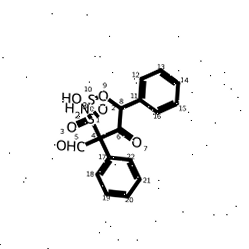 NS(=O)(=O)C([C]=O)(C(=O)C(OS(=O)(=O)O)c1ccccc1)c1ccccc1